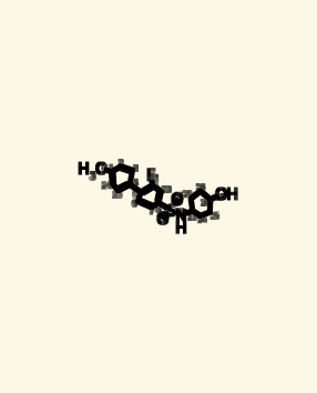 Cc1ccc(-c2ccc(S(=O)(=O)NC3CCC(O)CC3)cc2F)cc1